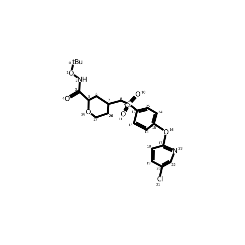 CC(C)(C)ONC(=O)C1CC(CS(=O)(=O)c2ccc(Oc3ccc(Cl)cn3)cc2)CCO1